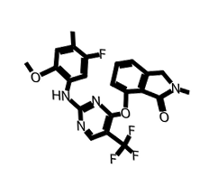 COc1cc(C)c(F)cc1Nc1ncc(C(F)(F)F)c(Oc2cccc3c2C(=O)N(C)C3)n1